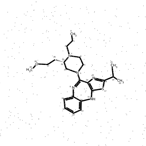 CCCN1CCN(C2=Nc3ccccc3Nc3sc(C(C)C)nc32)C[C@@H]1CCOC